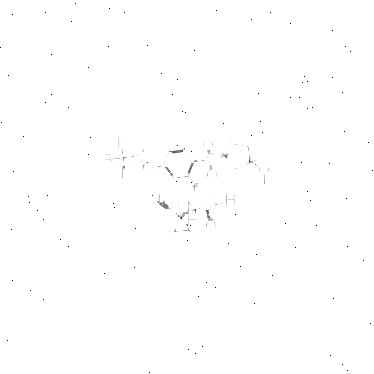 CO[C@@H]1CC[C@@H](S(=O)(=O)c2ccc(OCC(F)(F)F)cc2Cl)C1.N#CC1(NC(=O)O)CC1